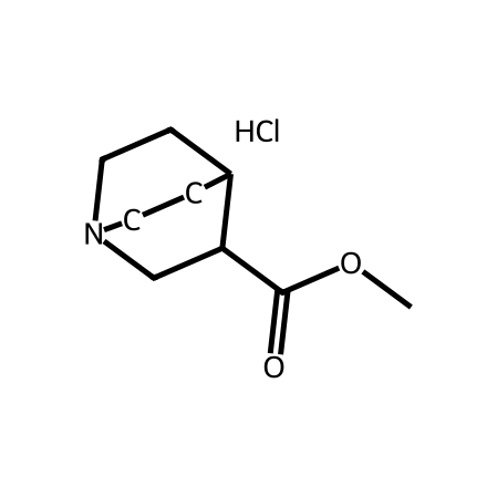 COC(=O)C1CN2CCC1CC2.Cl